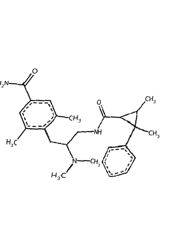 Cc1cc(C(N)=O)cc(C)c1CC(CNC(=O)C1C(C)C1(C)c1ccccc1)N(C)C